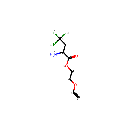 C=COCCOC(=O)C(N)CC(F)(F)F